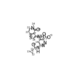 COC(=O)c1nnc(NC(=O)C2CC2)cc1Nc1csc2ccn(C)c(=O)c12